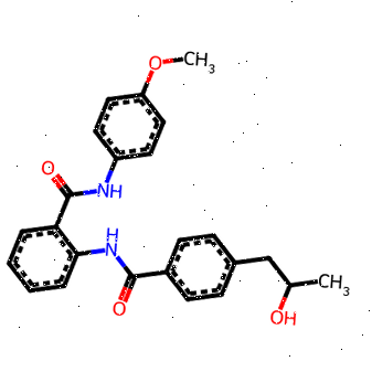 COc1ccc(NC(=O)c2ccccc2NC(=O)c2ccc(CC(C)O)cc2)cc1